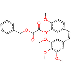 COc1ccc(/C=C\c2cc(OC)c(OC)c(OC)c2)cc1OC(=O)C(=O)OCc1ccccc1